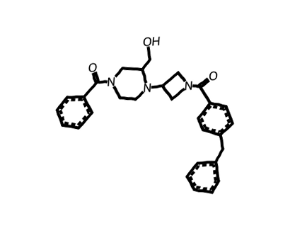 O=C(c1ccccc1)N1CCN(C2CN(C(=O)c3ccc(Cc4ccccc4)cc3)C2)C(CO)C1